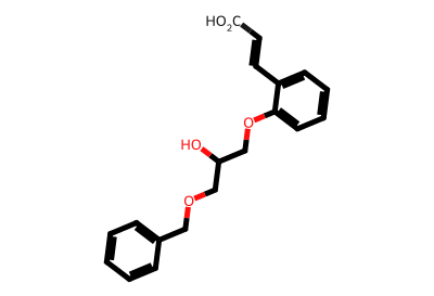 O=C(O)C=Cc1ccccc1OCC(O)COCc1ccccc1